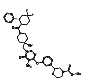 CC(C)(C)OC(=O)N1CCOC(c2cccc(Oc3ncn(CC4(O)CCN(C(=O)[C@@H]5CCC(F)(F)C[C@H]5c5ccccc5)CC4)c(=O)c3N)c2)C1